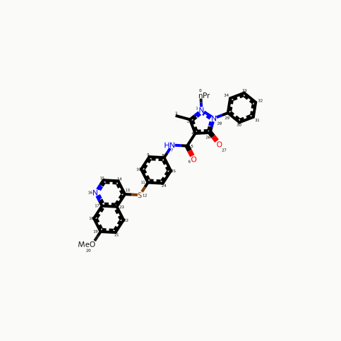 CCCn1c(C)c(C(=O)Nc2ccc(Sc3ccnc4cc(OC)ccc34)cc2)c(=O)n1-c1ccccc1